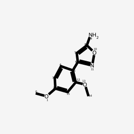 COc1ccc(-c2cc(N)on2)c(OC)c1